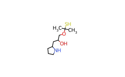 CC(C)(S)OCC(O)CC1CCCN1